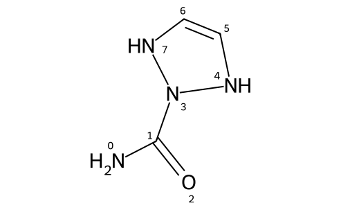 NC(=O)N1NC=CN1